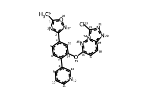 Cc1nc(-c2ccc(-c3cccnc3)c(Oc3ccc4nnc(Cl)n4n3)c2)no1